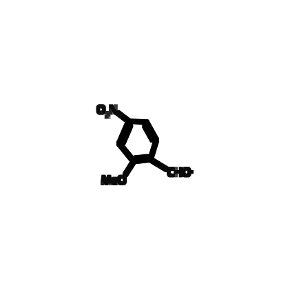 COc1cc([N+](=O)[O-])ccc1[C]=O